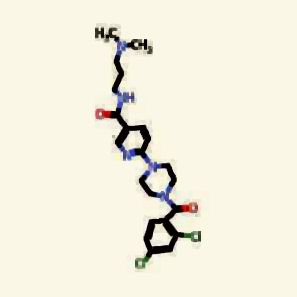 CN(C)CCCNC(=O)c1ccc(N2CCN(C(=O)c3ccc(Cl)cc3Cl)CC2)nc1